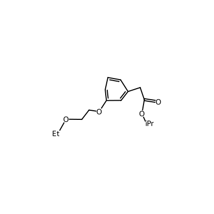 CCOCCOc1cccc(CC(=O)OC(C)C)c1